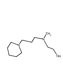 CN(CCO)CCCN1CCCCC1